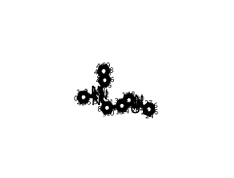 c1ccc(-c2nc(-c3cccc(-c4ccc5c(ccc6nc(-c7ccccc7)oc65)c4)c3)nc(-c3ccc4ccccc4c3)n2)cc1